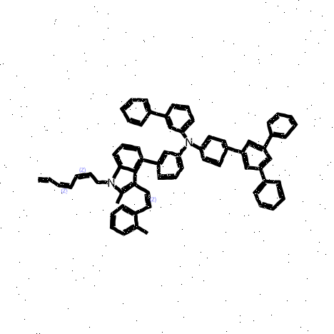 C=C/C=C\C=C/Cn1c(C)c(/C=C\c2ccccc2C)c2c(-c3cccc(N(c4ccc(-c5cc(-c6ccccc6)cc(-c6ccccc6)c5)cc4)c4cccc(-c5ccccc5)c4)c3)cccc21